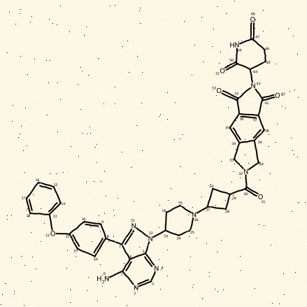 Nc1ncnc2c1c(-c1ccc(Oc3ccccc3)cc1)nn2C1CCN(C2CC(C(=O)N3Cc4cc5c(cc4C3)C(=O)N(C3CCC(=O)NC3=O)C5=O)C2)CC1